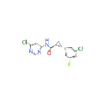 O=C(Nc1cc(Cl)ncn1)[C@H]1C[C@@H]1c1cc(F)cc(Cl)c1